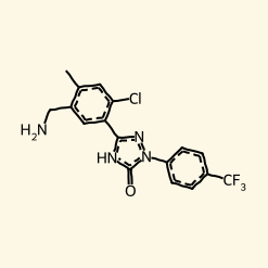 Cc1cc(Cl)c(-c2nn(-c3ccc(C(F)(F)F)cc3)c(=O)[nH]2)cc1CN